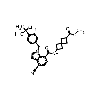 COC(=O)C1CC2(CC(NC(=O)c3ccc(C#N)c4ccn(Cc5ccc(C(C)(C)C)cc5)c34)C2)C1